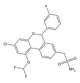 NS(=O)(=O)Cc1ccc2c(c1)C(c1cccc(F)c1)Oc1cc(Cl)cc(OC(F)F)c1-2